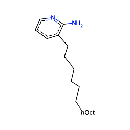 CCCCCCCCCCCCCCc1cccnc1N